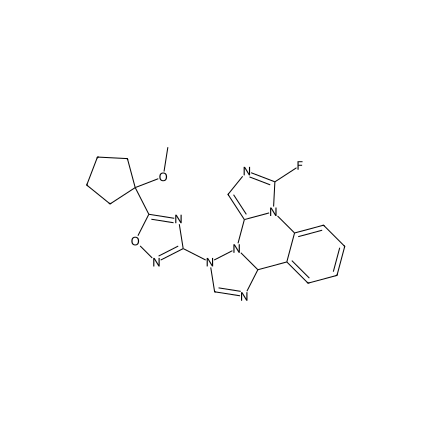 COC1(c2nc(N3C=NC4c5ccccc5-n5c(cnc5F)N43)no2)CCCC1